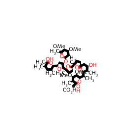 CO[C@@H]1[C@@H](OC)[C@H](C)[C@@](O)(CC(=O)O)O[C@H]1[C@H](C)[C@H]1O[C@@]2(CC[C@@](C)([C@H]3CC[C@@](C)([C@@H]4O[C@@H]([C@H]5O[C@](C)(O)[C@H](C)C[C@@H]5C)C[C@@H]4O[C@@H]4C[C@H](OC)[C@@H](OC)C(C)O4)O3)O2)C[C@H](O)[C@H]1C